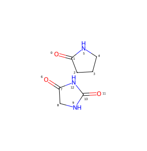 O=C1CCCN1.O=C1CNC(=O)N1